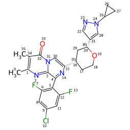 Cc1nc2c(-c3c(F)cc(Cl)cc3F)nc([C@H]3CCO[C@@H](c4cnn(C5CC5)c4)C3)cn2c(=O)c1C